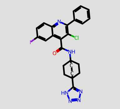 O=C(NC12CCC(c3nnn[nH]3)(CC1)CC2)c1c(Cl)c(-c2ccccc2)nc2ccc(I)cc12